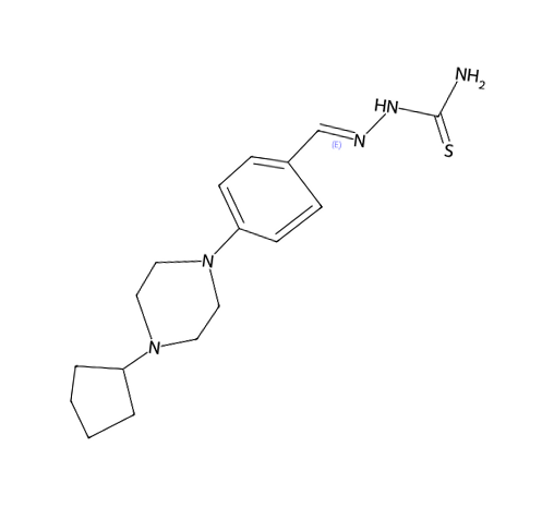 NC(=S)N/N=C/c1ccc(N2CCN(C3CCCC3)CC2)cc1